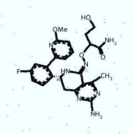 COc1cccc(-c2cc(F)ccc2[C@H]2Cc3nc(N)nc(C)c3/C(=N/OC(CCO)C(N)=O)N2)n1